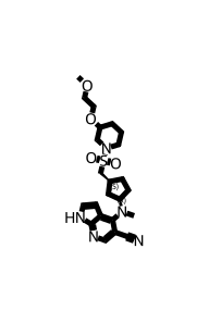 COCCOC1CCCN(S(=O)(=O)C[C@H]2CC[C@@H](N(C)c3c(C#N)cnc4[nH]ccc34)C2)C1